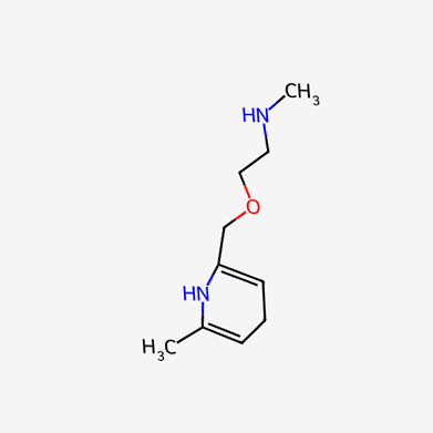 CNCCOCC1=CCC=C(C)N1